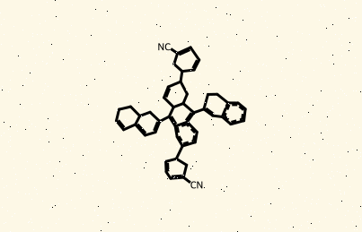 N#CC1=CC=CC(c2ccc3c(c2)=C(C2=CC=C4C=CCCC4C2)C2C=CC(C4C=CC=C(C#N)C4)CC2C=3C2=Cc3ccccc3CC2)C1